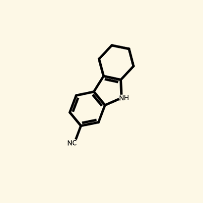 N#Cc1ccc2c3c([nH]c2c1)CCCC3